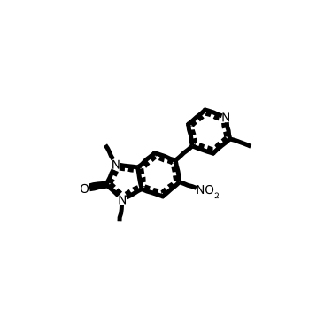 Cc1cc(-c2cc3c(cc2[N+](=O)[O-])n(C)c(=O)n3C)ccn1